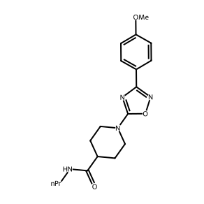 CCCNC(=O)C1CCN(c2nc(-c3ccc(OC)cc3)no2)CC1